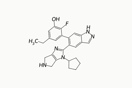 CCc1cc(O)c(F)c(-c2cc3[nH]ncc3cc2-c2nc3c(n2C2CCCC2)CNC3)c1